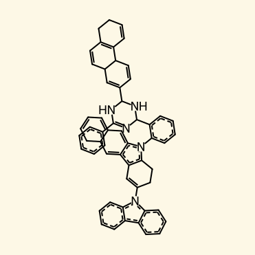 C1=CCC2C=c3c4c(n(-c5ccccc5C5N=C(c6ccccc6)NC(C6=CC7C=CC8=C(C=CCC8)C7C=C6)N5)c3=CC2=C1)CCC(n1c2ccccc2c2ccccc21)=C4